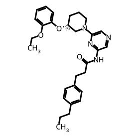 CCCc1ccc(CCC(=O)Nc2cncc(N3CCC[C@@H](Oc4ccccc4OCC)C3)n2)cc1